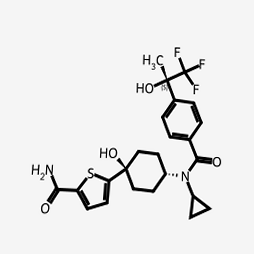 C[C@](O)(c1ccc(C(=O)N(C2CC2)[C@H]2CC[C@@](O)(c3ccc(C(N)=O)s3)CC2)cc1)C(F)(F)F